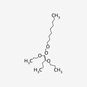 CCCCCCCCCOCOC(OCCC)=C(CCC)OCCC